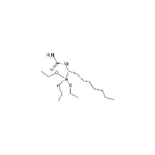 CCCCCCCC(NC(N)=O)[Si](OCC)(OCC)OCC